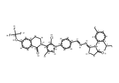 Cc1ccc(C(C)C)c(N2C(=O)CS/C2=N\N=C\c2ccc(-n3nc(C)c(N4CCc5cc(OC(F)(F)F)ccc5C4=O)c3Cl)cc2)c1